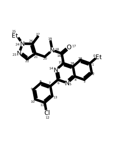 CCc1ccc2nc(-c3cccc(Cl)c3)nc(C(=O)N(C)Cc3cnn(CC)c3C)c2c1